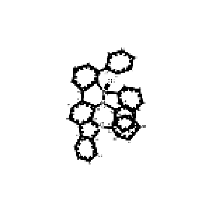 O=P1(c2ccccc2)c2c(-c3ccccc3)cccc2-c2ccc3c4ccccc4n(-c4ccccc4)c3c2N1c1ccccc1